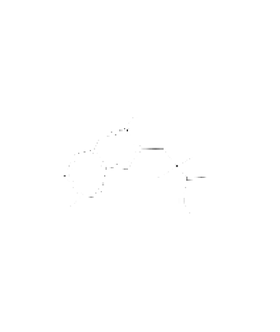 Cc1ccc2oc(=O)c(CC(C)(C)C(=O)NO)cc2c1